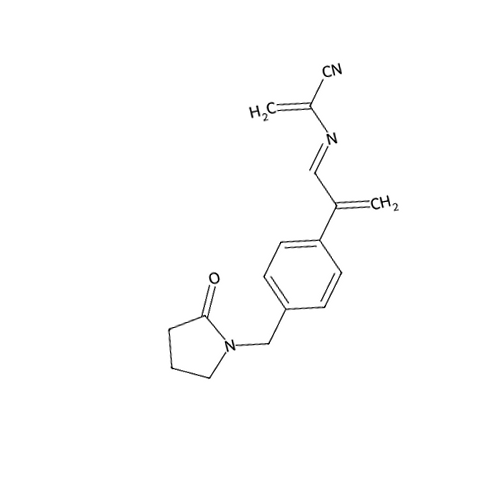 C=C(C#N)/N=C/C(=C)c1ccc(CN2CCCC2=O)cc1